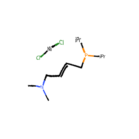 CC(C)P(CC=CCN(C)C)C(C)C.[Cl][Ni][Cl]